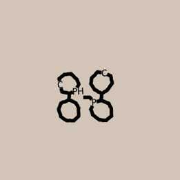 C1CCCCC(C2CCCCCCCP2)CCC1.CCP1CCCCCCCC1C1CCCCCCCC1